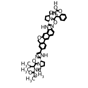 COC(=O)N[C@H](C(=O)N1[C@@H](C)CC[C@H]1c1ncc(-c2ccc3c(c2)COc2cc4c(ccc5nc([C@@H]6CC[C@H](C)N6C(=O)[C@H](NC(=O)O)c6ccccc6)[nH]c54)cc2-3)[nH]1)C(C)C